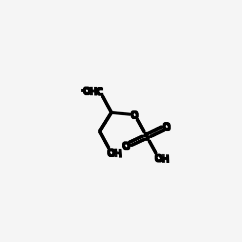 O=[C]C(CO)OS(=O)(=O)O